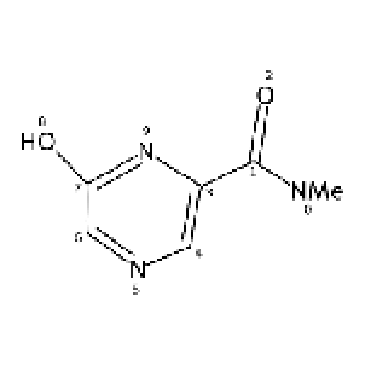 CNC(=O)c1cncc(O)n1